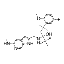 CNc1cc2cc(CNC(O)(CC(C)(C)c3cc(F)ccc3OC)C(F)(F)F)[nH]c2cn1